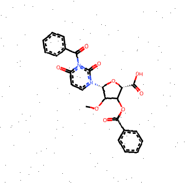 COC1C(OC(=O)c2ccccc2)[C@@H](C(=O)O)O[C@H]1n1ccc(=O)n(C(=O)c2ccccc2)c1=O